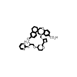 C[C@H](CO[C@@H]1CCO[C@@H]([C@@H]2CC[C@H]2CN2CC3(CCCc4cc(Cl)ccc43)COc3ccc(C(=O)O)cc32)C1)Sc1ncccn1